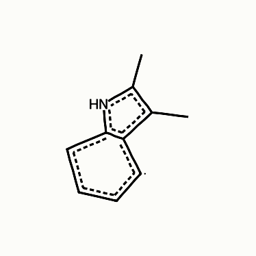 Cc1[nH]c2ccc[c]c2c1C